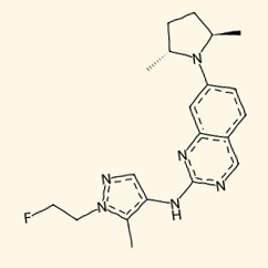 Cc1c(Nc2ncc3ccc(N4[C@H](C)CC[C@H]4C)cc3n2)cnn1CCF